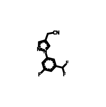 N#CCc1cnn(-c2cc(F)cc(C(F)F)c2)c1